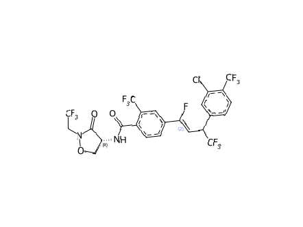 O=C(N[C@@H]1CON(CC(F)(F)F)C1=O)c1ccc(/C(F)=C/C(c2ccc(C(F)(F)F)c(Cl)c2)C(F)(F)F)cc1C(F)(F)F